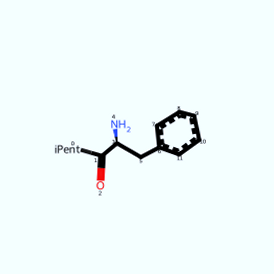 CCCC(C)C(=O)[C@@H](N)Cc1ccccc1